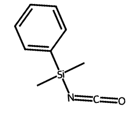 C[Si](C)(N=C=O)c1ccccc1